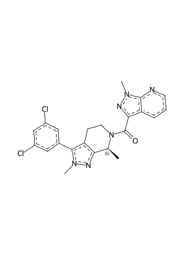 C[C@H]1c2nn(C)c(-c3cc(Cl)cc(Cl)c3)c2CCN1C(=O)c1nn(C)c2ncccc12